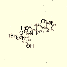 CC(C)(C)OC(=O)N1C[C@H](O)C[C@H]1C(=O)N[C@@H](CO)c1ccc(-c2cccnc2Cl)cc1